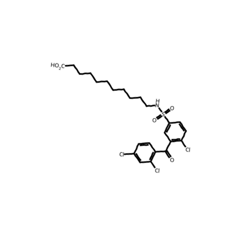 O=C(O)CCCCCCCCCCNS(=O)(=O)c1ccc(Cl)c(C(=O)c2ccc(Cl)cc2Cl)c1